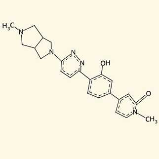 CN1CC2CN(c3ccc(-c4ccc(-c5ccn(C)c(=O)c5)cc4O)nn3)CC2C1